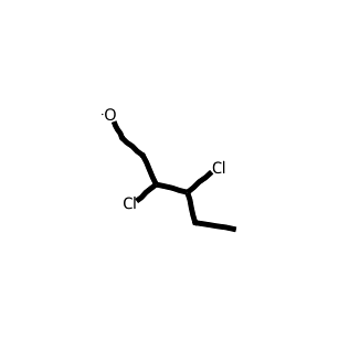 CCC(Cl)C(Cl)CC[O]